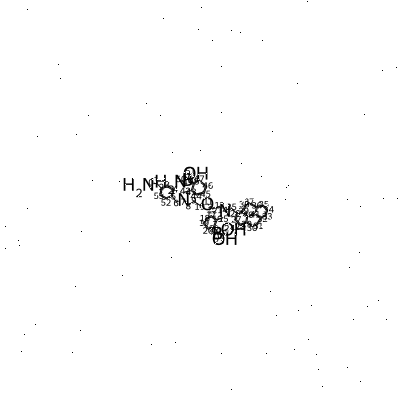 NCc1ccc(CN(CCCOCCN(Cc2ccccc2B(O)O)Cc2ccc3ccc4cccc5ccc2c3c45)Cc2ccccc2B(N)O)cc1